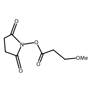 COCCC(=O)ON1C(=O)CCC1=O